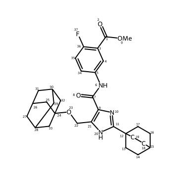 COC(=O)c1cc(NC(=O)c2nc(C34CCC(CC3)CC4)[nH]c2COC23CC4CC(CC(C4)C2)C3)ccc1F